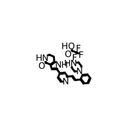 O=C(O)C(F)(F)F.O=C1NCCc2[nH]c(-c3ccnc(C=Cc4ccccc4N4CCNCC4)c3)cc21